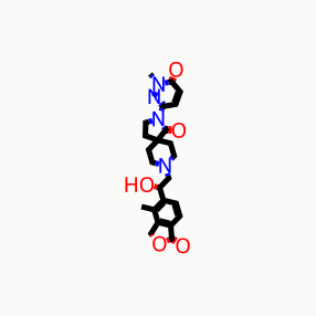 Cc1c(C(O)CN2CCC3(CC2)CCN(c2ccc(=O)n(C)n2)C3=O)ccc2c1COC2=O